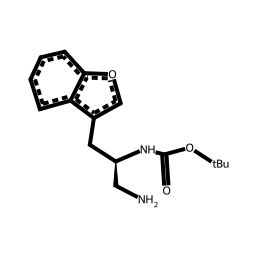 CC(C)(C)OC(=O)N[C@@H](CN)Cc1coc2ccccc12